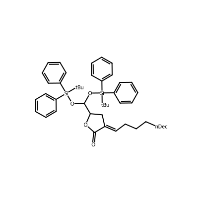 CCCCCCCCCCCCC/C=C1\CC(C(O[Si](c2ccccc2)(c2ccccc2)C(C)(C)C)O[Si](c2ccccc2)(c2ccccc2)C(C)(C)C)OC1=O